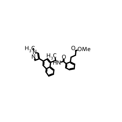 COC(=O)CCc1ccccc1C(=O)NC(C)c1cc(-c2cnn(C)c2)cc2ccccc12